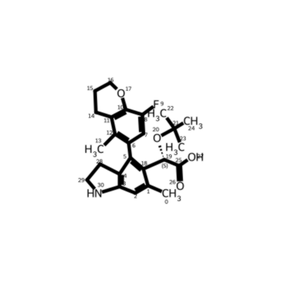 Cc1cc2c(c(-c3cc(F)c4c(c3C)CCCO4)c1[C@H](OC(C)(C)C)C(=O)O)CCN2